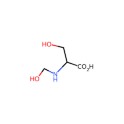 O=C(O)C(CO)NCO